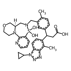 Cc1ccc(C(CC(=O)O)c2ccc3c(nnn3C3CC3)c2C)cc1CN1C[C@@H]2COCCN2c2ncccc2S1(O)O